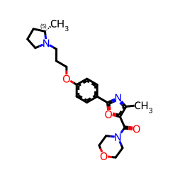 Cc1nc(-c2ccc(OCCCN3CCC[C@@H]3C)cc2)oc1C(=O)N1CCOCC1